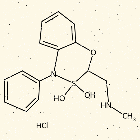 CNCC1Oc2ccccc2N(c2ccccc2)S1(O)O.Cl